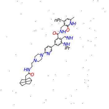 CCCc1cc(C)[nH]c(=O)c1CNC(=O)c1cc(-c2ccc(N3CCN(CCNC(=O)CC45CC6CC4CC6C5)CC3)nc2)cc(NC(C)C)c1C=N